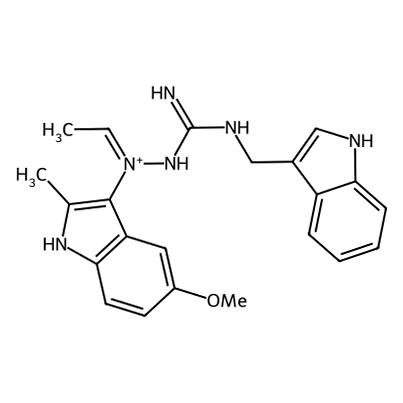 CC=[N+](NC(=N)NCc1c[nH]c2ccccc12)c1c(C)[nH]c2ccc(OC)cc12